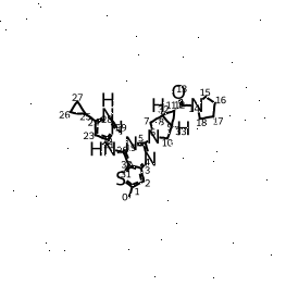 Cc1cc2nc(N3C[C@@H]4[C@H](C3)[C@H]4C(=O)N3CCCC3)nc(Nc3cc(C4CC4)[nH]n3)c2s1